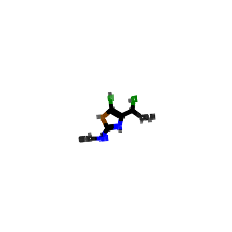 O=CNc1nc(C(Cl)C(=O)O)c(Cl)s1